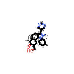 C[C@@H]1C(=O)/C(=C\O)C[C@]2(c3ccccc3)c3nn(C)c(-c4cncnc4)c3CC[C@@H]12